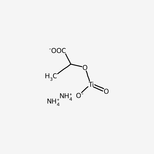 CC([O][Ti](=[O])[O-])C(=O)[O-].[NH4+].[NH4+]